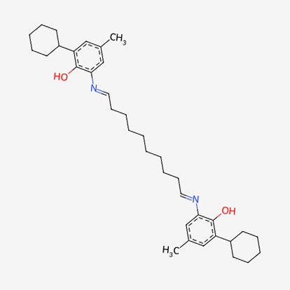 Cc1cc(/N=C/CCCCCCCC/C=N/c2cc(C)cc(C3CCCCC3)c2O)c(O)c(C2CCCCC2)c1